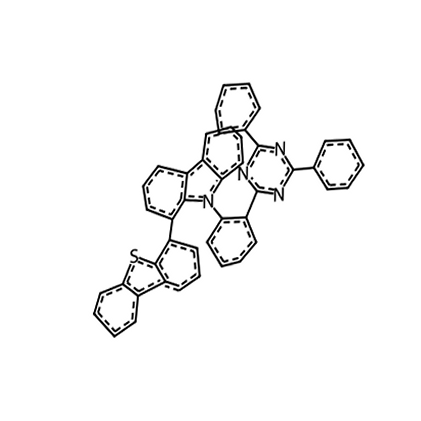 c1ccc(-c2nc(-c3ccccc3)nc(-c3ccccc3-n3c4ccccc4c4cccc(-c5cccc6c5sc5ccccc56)c43)n2)cc1